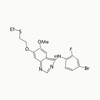 CCSCCOc1cc2ncnc(Nc3ccc(Br)cc3F)c2cc1OC